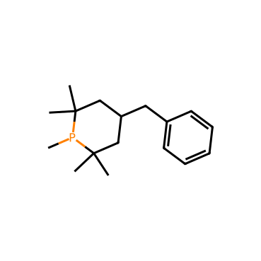 CP1C(C)(C)CC(Cc2ccccc2)CC1(C)C